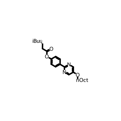 CCCCCCCCOc1cnc(-c2ccc(OC(=O)CC[C@@H](C)CC)cc2)nc1